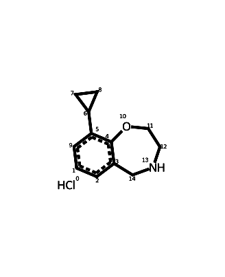 Cl.c1cc2c(c(C3CC3)c1)OCCNC2